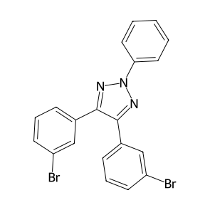 Brc1cccc(-c2nn(-c3ccccc3)nc2-c2cccc(Br)c2)c1